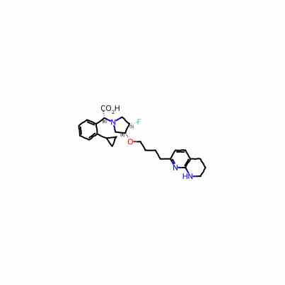 O=C(O)[C@@H](c1ccccc1C1CC1)N1C[C@H](F)[C@H](OCCCCc2ccc3c(n2)NCCC3)C1